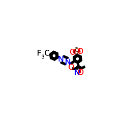 Cc1noc(C)c1-c1ccc(S(C)(=O)=O)cc1C(=O)N1CCN(c2ccc(C(F)(F)F)cc2)CC1